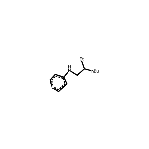 CCCCC(CC)CNc1ccncc1